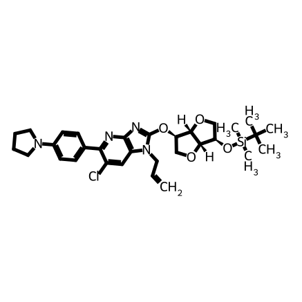 C=CCn1c(O[C@@H]2CO[C@@H]3[C@H]2OC[C@H]3O[Si](C)(C)C(C)(C)C)nc2nc(-c3ccc(N4CCCC4)cc3)c(Cl)cc21